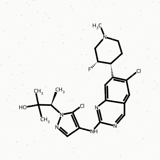 C[C@@H](n1ncc(Nc2ncc3cc(Cl)c([C@H]4CCN(C)C[C@H]4F)cc3n2)c1Cl)C(C)(C)O